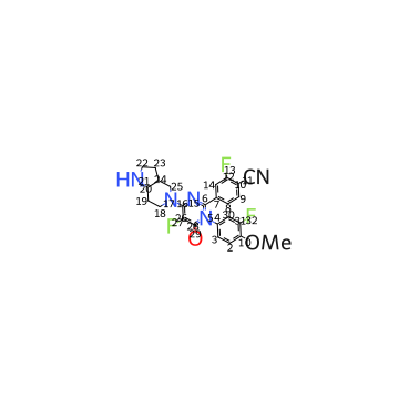 COc1ccc(-n2c(-c3ccc(C#N)c(F)c3)nc(N3CCC4NCCC4C3)c(F)c2=O)cc1F